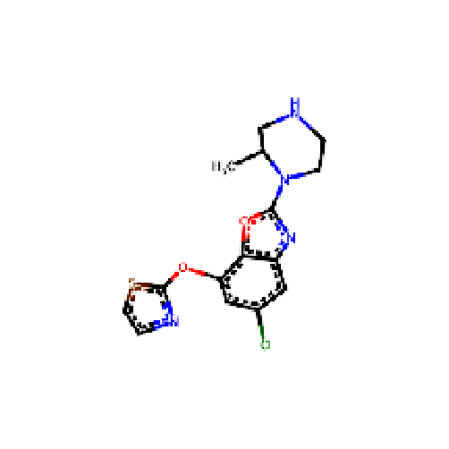 CC1CNCCN1c1nc2cc(Cl)cc(Oc3nccs3)c2o1